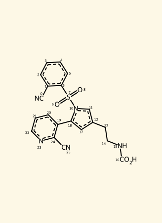 N#Cc1ccccc1S(=O)(=O)n1cc(CCNC(=O)O)cc1-c1cccnc1C#N